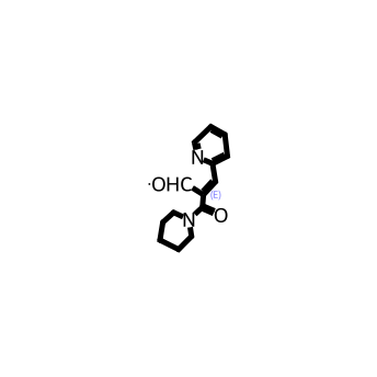 O=[C]/C(=C\c1ccccn1)C(=O)N1CCCCC1